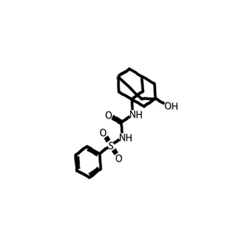 O=C(NC12CC3CC(CC(O)(C3)C1)C2)NS(=O)(=O)c1ccccc1